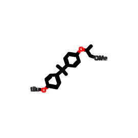 COCC(C)Oc1ccc(C(C)(C)c2ccc(OC(C)(C)C)cc2)cc1